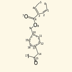 C/C=C\C(=C/C)C(=O)OCc1ccc(CC(=O)I)cc1